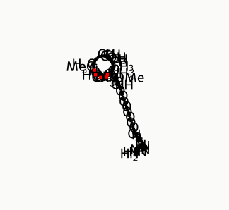 CO[C@H]1C[C@@H]2CC[C@@H](C)[C@@](O)(O2)C(=O)C(=O)N2CCCC[C@H]2C(=O)O[C@H]([C@H](N)C[C@@H]2CC[C@@H](OC(=O)NCCOCCOCCOCCOCCOCCOCCOCCOCCC(=O)N3CCc4cc(Cn5nc(-c6cnc7[nH]ccc7c6)c6c(N)ncnc65)ccc4C3)[C@H](OC)C2)CC(=O)[C@H](C)/C=C(\C)[C@@H](O)[C@@H](O)C(=O)[C@H](C)C[C@H](C)/C=C/C=C/C=C/1C